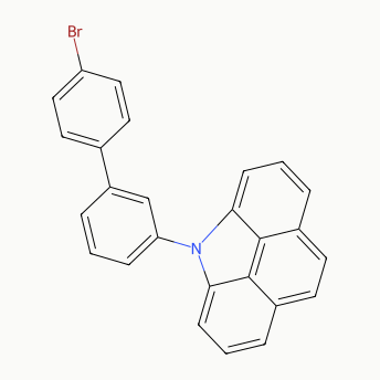 Brc1ccc(-c2cccc(-n3c4cccc5ccc6cccc3c6c54)c2)cc1